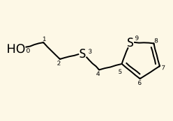 OCCSCc1cccs1